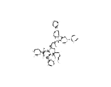 FC(F)(F)c1ccc(-c2cc(-n3c4ccc(-c5ccccc5)cc4c4cc(-c5ccccc5)ccc43)ccc2-c2nc(-c3ccccc3)nc(-c3ccccc3)n2)cc1